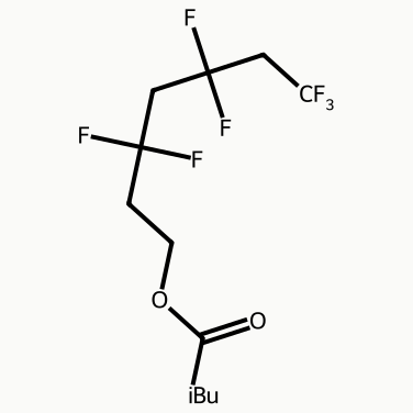 CCC(C)C(=O)OCCC(F)(F)CC(F)(F)CC(F)(F)F